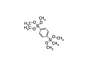 CO[Si](C)(OC)c1ccc([Si](OC)(OC)OC)cc1